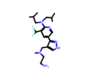 CC(C)CN(CC(C)C)c1ncc(-c2n[nH]cc2CN(C)CCN)cc1C(F)F